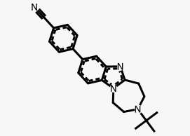 CC(C)(C)N1CCc2nc3cc(-c4ccc(C#N)cc4)ccc3n2CC1